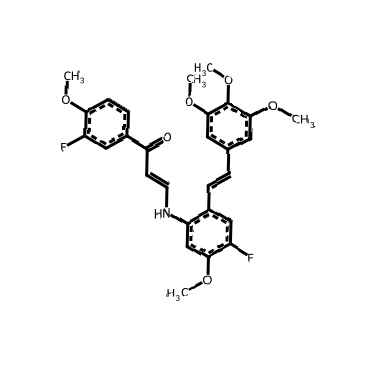 COc1ccc(C(=O)C=CNc2cc(OC)c(F)cc2C=Cc2cc(OC)c(OC)c(OC)c2)cc1F